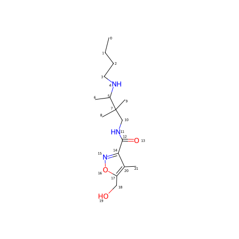 CCCCNC(C)C(C)(C)CNC(=O)c1noc(CO)c1C